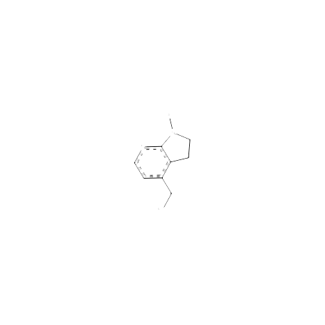 CC(=O)Cc1ccnc2c1CCN2C(C)=O